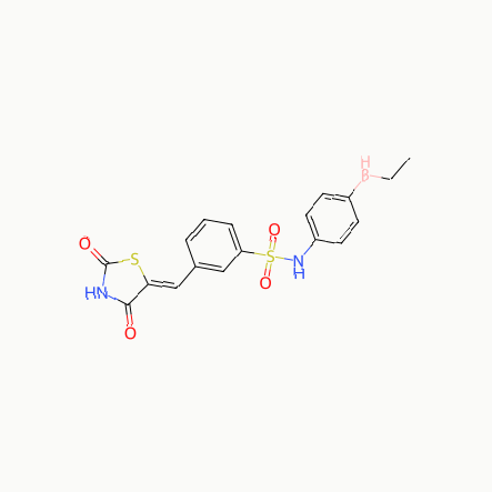 CCBc1ccc(NS(=O)(=O)c2cccc(/C=C3\SC(=O)NC3=O)c2)cc1